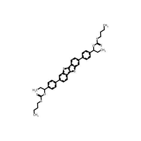 CCCCSC(=S)OC(CC)c1ccc(-c2ccc3c(c2)sc2c4ccc(-c5ccc(C(CC)OC(=S)SCCCC)cc5)cc4sc32)cc1